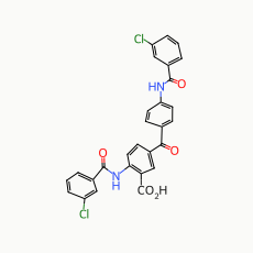 O=C(Nc1ccc(C(=O)c2ccc(NC(=O)c3cccc(Cl)c3)c(C(=O)O)c2)cc1)c1cccc(Cl)c1